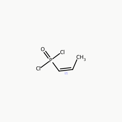 C/C=C\P(=O)(Cl)Cl